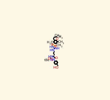 Cc1c(C)c(S(=O)(=O)NC(=N)NCCC[C@H](NC(=O)OC(C)(C)C)C(=O)Nc2ccc(CO)cc2)c(C)c2c1OC(C)(C)CC2